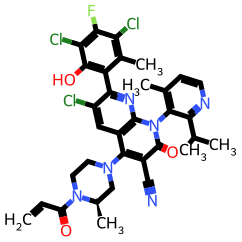 C=CC(=O)N1CCN(c2c(C#N)c(=O)n(-c3c(C)ccnc3C(C)C)c3nc(-c4c(C)c(Cl)c(F)c(Cl)c4O)c(Cl)cc23)C[C@H]1C